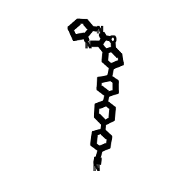 N#Cc1ccc(-c2ccc(-c3ccc(-c4ccc5oc6nc7ccccc7nc6c5c4)cc3)cc2)cc1